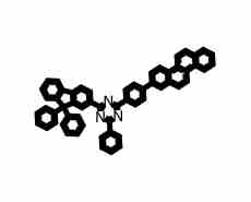 c1ccc(-c2nc(-c3ccc(-c4ccc5c(ccc6c7ccccc7ccc56)c4)cc3)nc(-c3ccc4c(c3)C(c3ccccc3)(c3ccccc3)c3ccccc3-4)n2)cc1